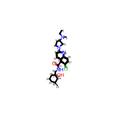 CCN(C)C1CCN(c2ccc3c(C(=O)NC[C@]4(O)CCC[C@H](C)C4)c(Cl)ccc3n2)C1